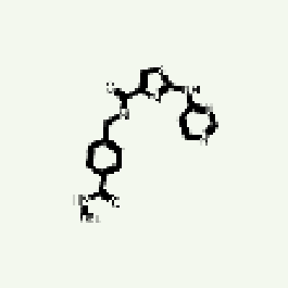 CCCCNC(=O)c1ccc(CNC(=O)c2csc(Nc3ccncn3)n2)cc1